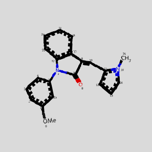 COc1cccc(N2C(=O)C(=Cc3cccn3C)c3ccccc32)c1